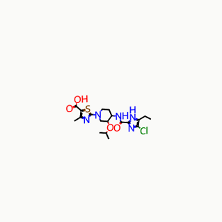 CCc1[nH]c(C(=O)NC2CCN(c3nc(C)c(C(=O)O)s3)CC2OC(C)C)nc1Cl